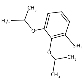 CC(C)Oc1cccc([SiH3])c1OC(C)C